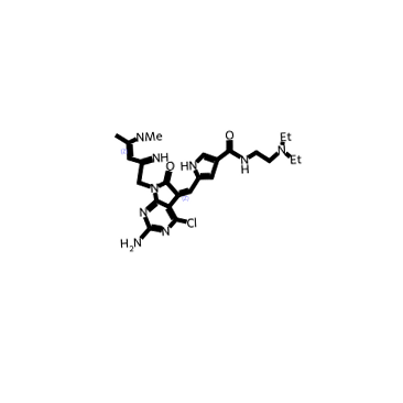 CCN(CC)CCNC(=O)c1c[nH]c(/C=C2\C(=O)N(CC(=N)/C=C(/C)NC)c3nc(N)nc(Cl)c32)c1